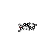 COC(=O)C1CCC(N(C)Cc2ncc(-c3cccc(-c4cccc(Nc5nc(C(F)F)nc6cc(Br)cnc56)c4C)c3F)nc2OC)CC1